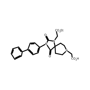 CCOC(=O)CN1C(=O)N(c2ccc(-c3ccccc3)cc2)C(=O)C12CCN(CC(=O)O)CC2